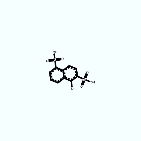 [O]c1c(S(=O)(=O)O)ccc2c(S(=O)(=O)O)cccc12